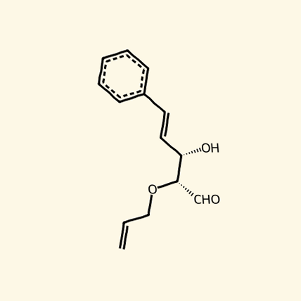 C=CCO[C@@H](C=O)[C@@H](O)/C=C/c1ccccc1